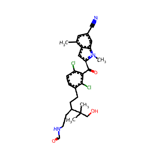 Cc1cc(C#N)cc2c1cc(C(=O)c1c(Cl)ccc(CCC(CCNC=O)C(C)(C)CO)c1Cl)n2C